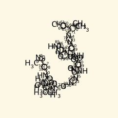 Cc1ncsc1-c1ccc(CNC(=O)[C@@H]2C[C@@H](O)CN2C(=O)[C@@H](NC(=O)CCOCCN2CCN(CCNc3ccc(S(=O)(=O)NC(=O)c4ccc(N5CCN(CC6=C(c7ccc(Cl)cc7)CC(C)(C)CC6)CC5)cc4N4CCCOc5nc6[nH]ccc6cc54)cc3[N+](=O)[O-])CC2)C(C)(C)C)cc1